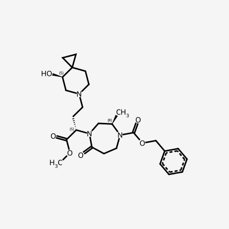 COC(=O)[C@H](CCN1CCC2(CC2)[C@H](O)C1)N1C[C@@H](C)N(C(=O)OCc2ccccc2)CCC1=O